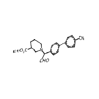 CCOC(=O)C1CCCN(C(C=O)c2ccc(-c3ccc(C#N)cc3)cc2)C1